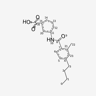 CCCCc1ccc(C(=O)Nc2cccc(S(=O)(=O)O)c2)c(C)c1